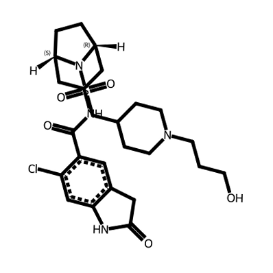 O=C1Cc2cc(C(=O)NC3C[C@H]4CC[C@@H](C3)N4S(=O)(=O)CC3CCN(CCCO)CC3)c(Cl)cc2N1